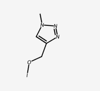 Cn1cc(COI)nn1